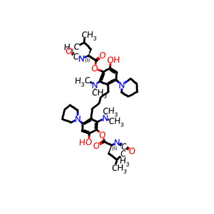 CC(C)C[C@H](N=C=O)C(=O)Oc1c(O)cc(N2CCCCC2)c(CCCCc2c(N3CCCCC3)cc(O)c(OC(=O)[C@H](CC(C)C)N=C=O)c2N(C)C)c1N(C)C